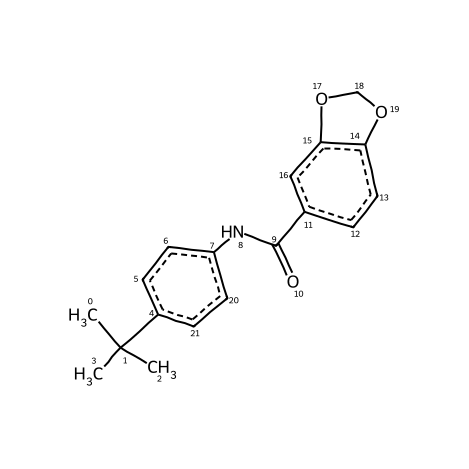 CC(C)(C)c1ccc(NC(=O)c2ccc3c(c2)OCO3)cc1